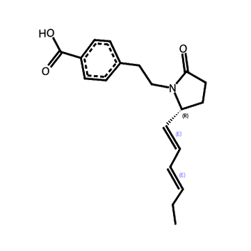 CC/C=C/C=C/[C@H]1CCC(=O)N1CCc1ccc(C(=O)O)cc1